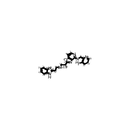 FC1=C(CNc2nccc3oc([C@H](F)CNCCc4nc5ccccc5[nH]4)nc23)N=CCC1